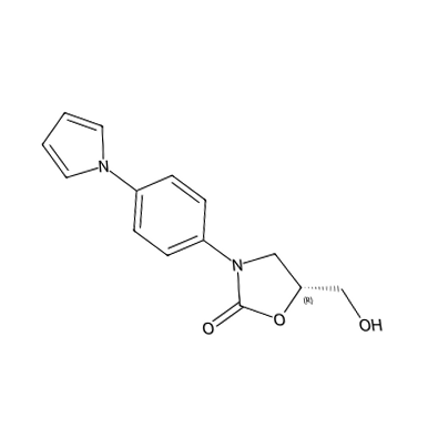 O=C1O[C@@H](CO)CN1c1ccc(-n2cccc2)cc1